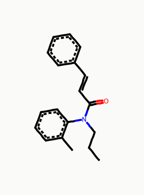 CCCN(C(=O)C=Cc1ccccc1)c1ccccc1C